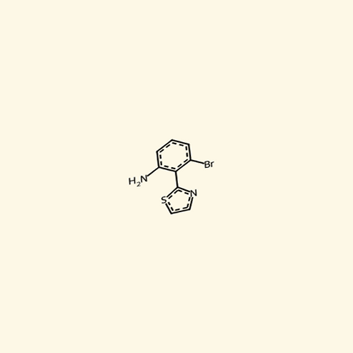 Nc1cccc(Br)c1-c1nccs1